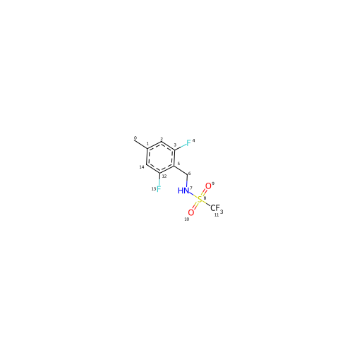 Cc1cc(F)c(CNS(=O)(=O)C(F)(F)F)c(F)c1